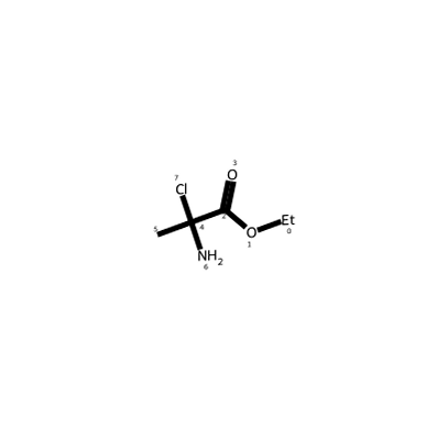 CCOC(=O)C(C)(N)Cl